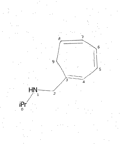 CC(C)NCC1=CC=CC=CC1